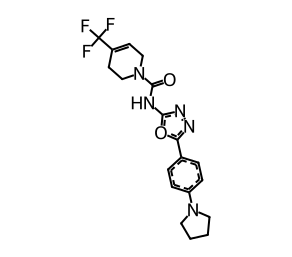 O=C(Nc1nnc(-c2ccc(N3CCCC3)cc2)o1)N1CC=C(C(F)(F)F)CC1